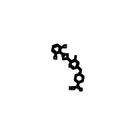 Cc1cc(CN2CCC(C(=O)O)CC2)cnc1C1CN(c2c(Cl)cccc2Cl)C1